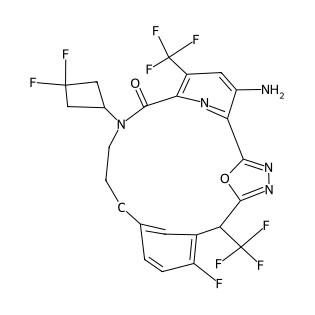 Nc1cc(C(F)(F)F)c2nc1-c1nnc(o1)C(C(F)(F)F)c1cc(ccc1F)CCCN(C1CC(F)(F)C1)C2=O